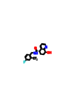 O=C(NCc1ccc(F)cc1C(F)(F)F)[C@H]1CC[C@H](O)c2ncccc21